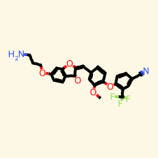 COc1cc(C=C2Oc3cc(OCCCN)ccc3C2=O)ccc1Oc1ccc(C#N)cc1C(F)(F)F